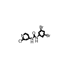 O=C(Nc1cc(Br)cc(Br)c1)Nc1ccnc(Cl)c1